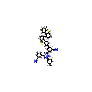 N#Cc1cccc(-c2nc(-c3ccccc3)nc(-c3cc(C#N)cc(-c4ccc5c(c4)sc4cccc(-c6cccc7sc8ccccc8c67)c45)c3)n2)c1